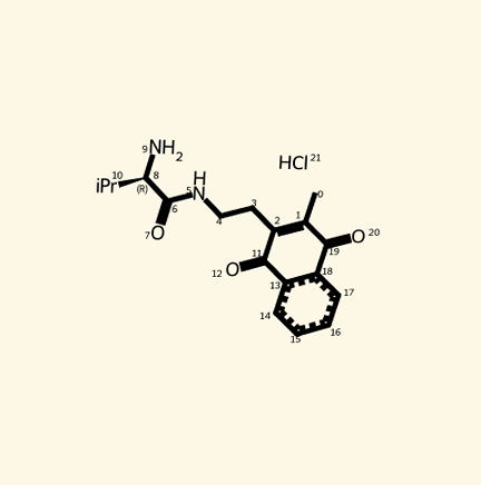 CC1=C(CCNC(=O)[C@H](N)C(C)C)C(=O)c2ccccc2C1=O.Cl